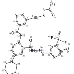 O=C(O)CCC#Cc1cccc(C(=O)Nc2ccc(N3CCCCC3)cc2C(=O)N/N=C/c2ccc(Cl)c(C(F)(F)F)c2)c1